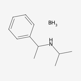 B.CC(C)NC(C)c1ccccc1